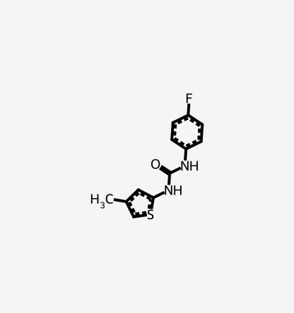 Cc1csc(NC(=O)Nc2ccc(F)cc2)c1